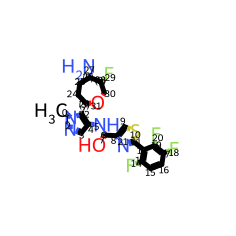 Cn1ncc(NC(O)c2csc(-c3c(F)ccc(F)c3F)n2)c1[C@@H]1CC[C@@H](N)[C@@H](F)CO1